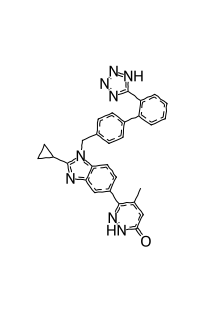 Cc1cc(=O)[nH]nc1-c1ccc2c(c1)nc(C1CC1)n2Cc1ccc(-c2ccccc2-c2nnn[nH]2)cc1